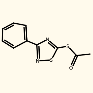 CC(=O)Sc1nc(-c2ccccc2)ns1